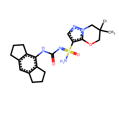 CCC1(C)COc2c(S(N)(=O)=NC(=O)Nc3c4c(cc5c3CCC5)CCC4)cnn2C1